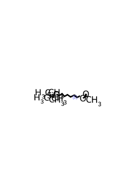 CC(=O)OC/C=C/CCCCCO[Si](C)(C)C(C)(C)C